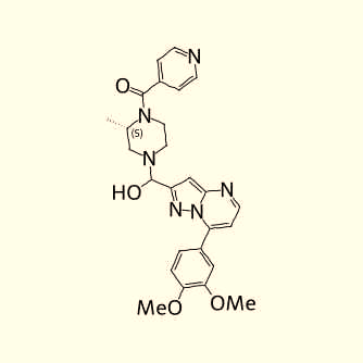 COc1ccc(-c2ccnc3cc(C(O)N4CCN(C(=O)c5ccncc5)[C@@H](C)C4)nn23)cc1OC